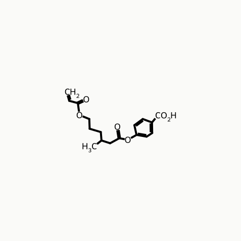 C=CC(=O)OCCCC(C)CC(=O)Oc1ccc(C(=O)O)cc1